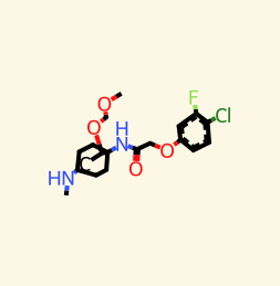 CNC12CCC(NC(=O)COc3ccc(Cl)c(F)c3)(CC1)C(OCOC)C2